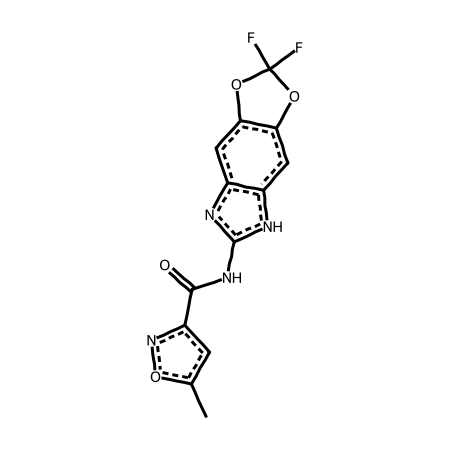 Cc1cc(C(=O)Nc2nc3cc4c(cc3[nH]2)OC(F)(F)O4)no1